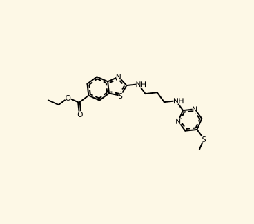 CCOC(=O)c1ccc2nc(NCCCNc3ncc(SC)cn3)sc2c1